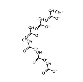 O=C([O-])O.O=C([O-])O.O=C([O-])O.O=C([O-])O.O=C([O-])O.O=C([O-])O.[C+4].[Ca+2]